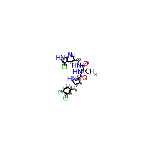 C[C@H](NC(=O)[C@H]1C[C@H](Cc2ccc(F)c(Cl)c2)CN1)C(=O)NCc1cnc2[nH]cc(Cl)c2c1